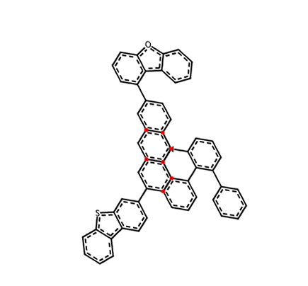 c1ccc(-c2ccccc2-c2c(-c3ccccc3)cccc2N(c2ccc(-c3ccc4c(c3)sc3ccccc34)cc2)c2ccc(-c3cccc4oc5ccccc5c34)cc2)cc1